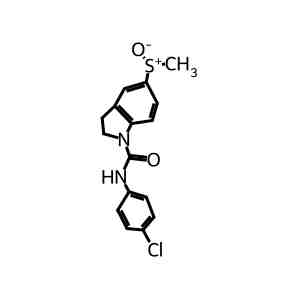 C[S+]([O-])c1ccc2c(c1)CCN2C(=O)Nc1ccc(Cl)cc1